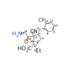 CCC1(C(=O)O)C2CC(Cc3ccccc3Cl)C(C#N)(C(=O)CN)C21